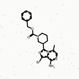 Cc1cnc(N)c2c(Br)nc(C3CCCN(C(=O)OCc4ccccc4)C3)n12